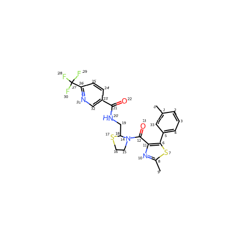 Cc1cccc(-c2sc(C)nc2C(=O)N2CCSC2CNC(=O)c2ccc(C(F)(F)F)nc2)c1